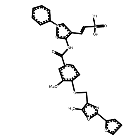 COc1cc(C(=O)Nc2nn(-c3ccccc3)cc2C=CP(=O)(O)O)ccc1OCc1nc(-c2ccco2)oc1C